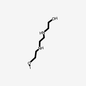 OCCNCCNCCOI